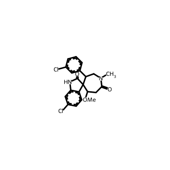 COC1CC(=O)N(C)CC(c2cccc(Cl)c2)C12C(=O)Nc1cc(Cl)ccc12